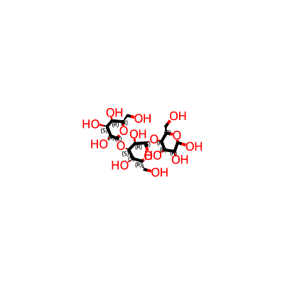 OC[C@H]1O[C@H](O[C@H]2[C@@H](O)[C@@H](CO)O[C@@H](O[C@@H]3[C@H](O)[C@@H](O)C(O)O[C@@H]3CO)[C@@H]2O)[C@H](O)[C@@H](O)[C@H]1O